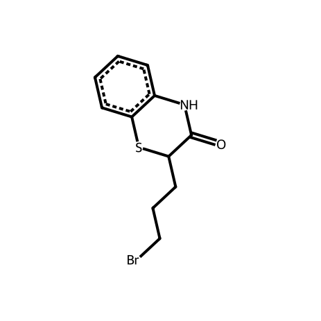 O=C1Nc2ccccc2SC1CCCBr